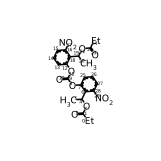 CCC(=O)OC(C)c1c(OC(=O)Oc2cccc([N+](=O)[O-])c2C(C)OC(=O)CC)cccc1[N+](=O)[O-]